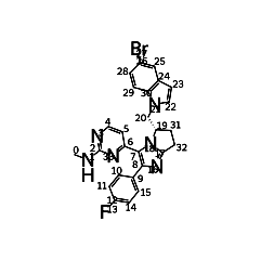 CNc1nccc(-c2c(-c3ccc(F)cc3)nc3n2[C@H](Cn2ccc4cc(Br)ccc42)CC3)n1